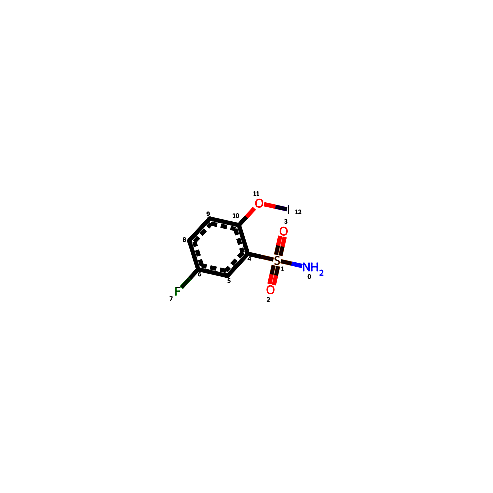 NS(=O)(=O)c1cc(F)ccc1OI